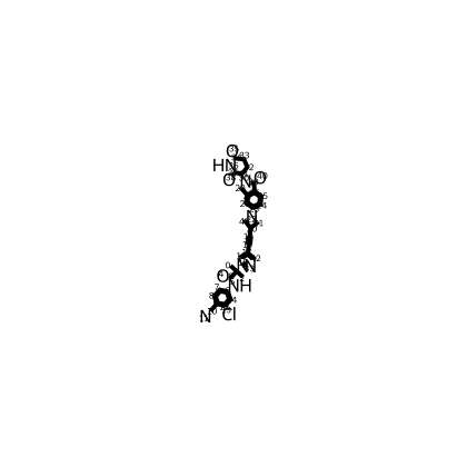 CC(C)(C(=O)Nc1ccc(C#N)c(Cl)c1)n1cc(C#CC2CN(c3ccc4c(c3)CN(C3CCC(=O)NC3=O)C4=O)C2)cn1